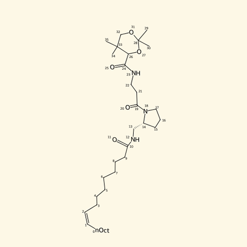 CCCCCCCC/C=C\CCCCCCCC(=O)NC[C@H]1CCCN1C(=O)CCNC(=O)C1OC(C)(C)OCC1(C)C